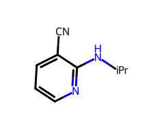 CC(C)Nc1ncccc1C#N